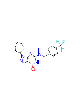 O=c1[nH]c(NCc2ccc(C(F)(F)F)cc2)nc2c1cnn2C1CCCCC1